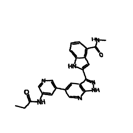 CCC(=O)Nc1cncc(-c2cnc3[nH]nc(-c4cc5c(C(=O)NC)cccc5[nH]4)c3c2)c1